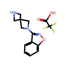 O=C(O)C(F)(F)F.c1ccc2c(N3CC4(CNC4)C3)noc2c1